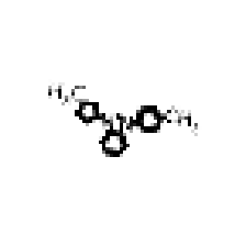 Cc1ccc(-n2c[n+](C3CCC(C)C3)c3ccccc32)cc1